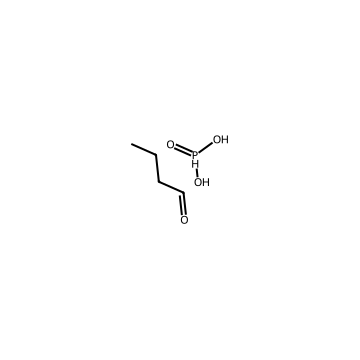 CCCC=O.O=[PH](O)O